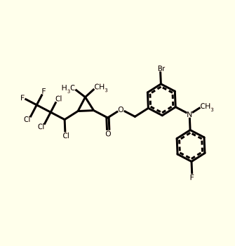 CN(c1ccc(F)cc1)c1cc(Br)cc(COC(=O)C2C(C(Cl)C(Cl)(Cl)C(F)(F)Cl)C2(C)C)c1